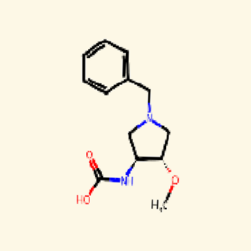 CO[C@H]1CN(Cc2ccccc2)C[C@@H]1NC(=O)O